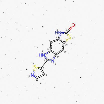 O=c1[nH]c2cc3[nH]c(-c4ccns4)nc3cc2s1